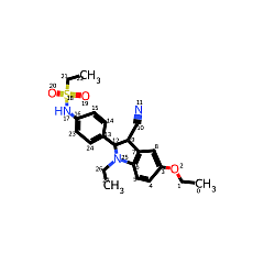 CCOc1ccc2c(c1)C(C#N)C(c1ccc(NS(=O)(=O)CC)cc1)N2CC